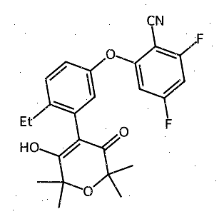 CCc1ccc(Oc2cc(F)cc(F)c2C#N)cc1C1=C(O)C(C)(C)OC(C)(C)C1=O